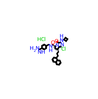 Cl.N=C(N)c1ccc(CNC(=O)[C@@H]2C[C@H](CCCc3cccc4ccccc34)c3c(Cl)nc(NC4CCC4)c(=O)n32)cc1